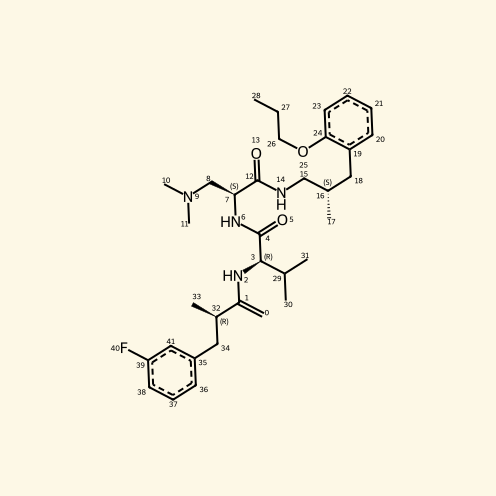 C=C(N[C@@H](C(=O)N[C@@H](CN(C)C)C(=O)NC[C@@H](C)Cc1ccccc1OCCC)C(C)C)[C@H](C)Cc1cccc(F)c1